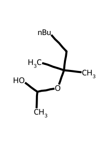 CCCCCC(C)(C)OC(C)O